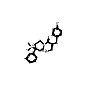 CNCC(Cc1ccc(F)cc1)C(=O)N1CCC(c2ccccc2)(N(C)C)CC1